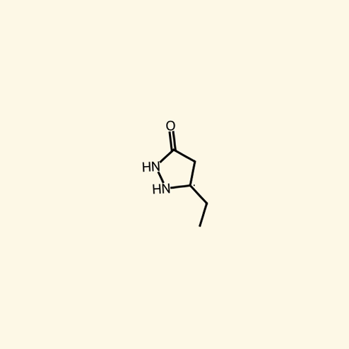 CC[C]1CC(=O)NN1